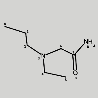 CCCN(CC)CC(N)=O